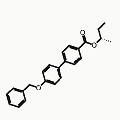 CC[C@H](C)OC(=O)c1ccc(-c2ccc(OCc3ccccc3)cc2)cc1